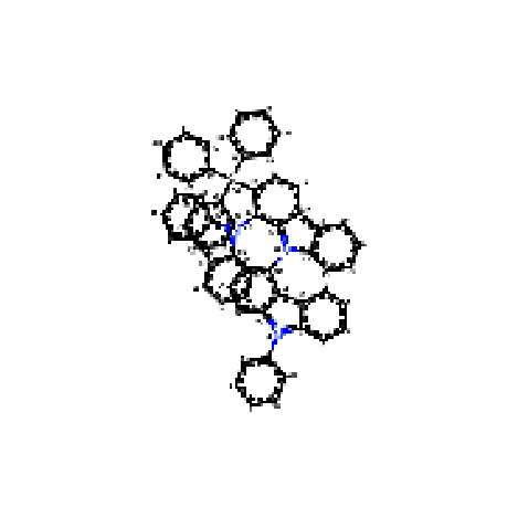 c1ccc(-n2c3ccccc3c3c(-n4c5ccccc5c5ccc([Si](c6ccccc6)(c6ccccc6)c6ccccc6)c(-n6c7ccccc7c7ccccc76)c54)cccc32)cc1